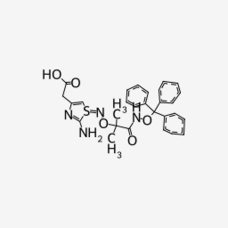 CC(C)(O/N=S1/C=C(CC(=O)O)N=C1N)C(=O)NOC(c1ccccc1)(c1ccccc1)c1ccccc1